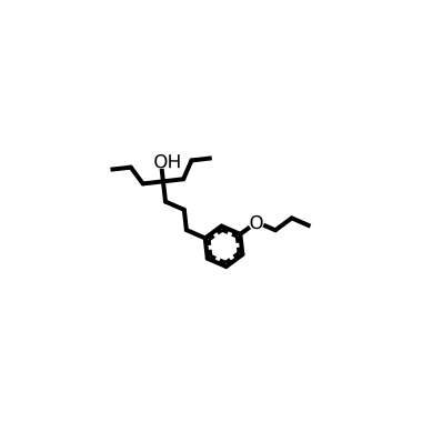 CCCOc1cccc(CCCC(O)(CCC)CCC)c1